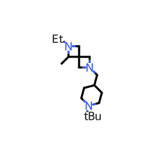 CCN1CC2(CN(CC3CCN(C(C)(C)C)CC3)C2)C1C